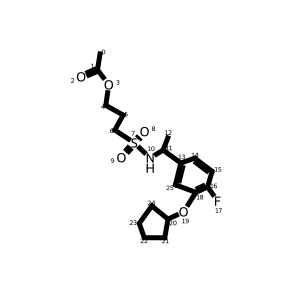 CC(=O)OCCCS(=O)(=O)NC(C)c1ccc(F)c(OC2CCCC2)c1